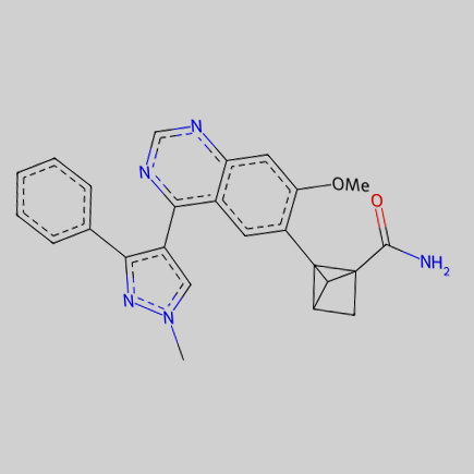 COc1cc2ncnc(-c3cn(C)nc3-c3ccccc3)c2cc1C1C2CC1(C(N)=O)C2